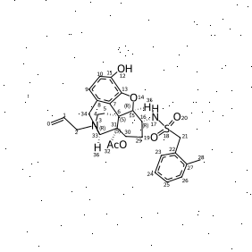 C=CCN1CC[C@]23c4c5ccc(O)c4O[C@H]2[C@H](NS(=O)(=O)Cc2ccccc2C)CC[C@@]3(OC(C)=O)[C@H]1C5